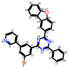 Brc1cc(-c2cccnc2)cc(-c2nc(-c3ccccc3)nc(-c3ccc4oc5ccccc5c4c3)n2)c1